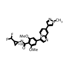 COc1cc(-c2cnc3cc(-c4cnn(C)c4)ccn23)cc(OC)c1C(=O)N[C@H]1CC1C(F)F